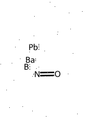 [B].[Ba].[N]=O.[Pb]